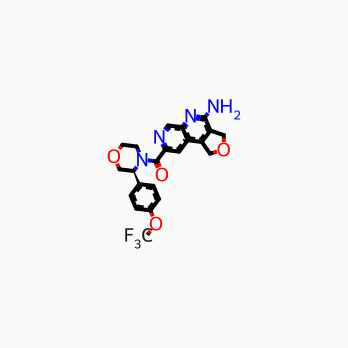 Nc1nc2cnc(C(=O)N3CCOC[C@@H]3c3ccc(OC(F)(F)F)cc3)cc2c2c1COC2